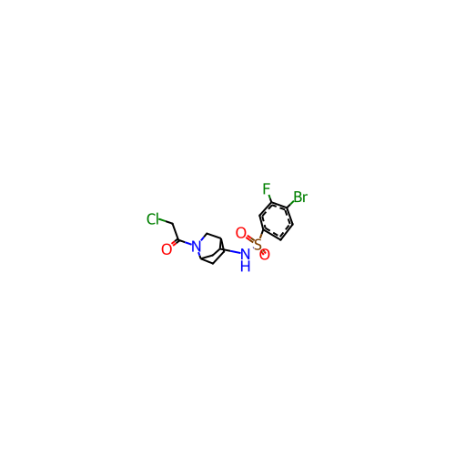 O=C(CCl)N1CC2CCC1CC2NS(=O)(=O)c1ccc(Br)c(F)c1